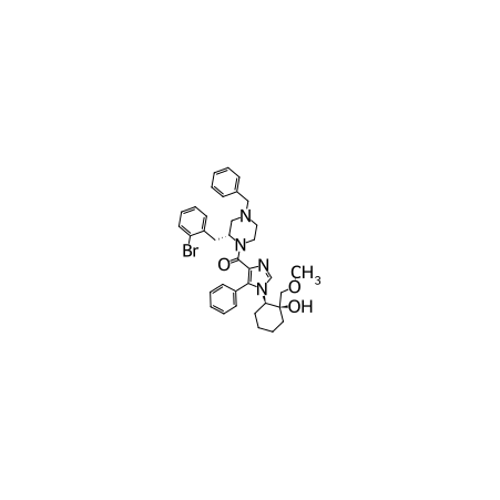 COC[C@]1(O)CCCC[C@H]1n1cnc(C(=O)N2CCN(Cc3ccccc3)C[C@H]2Cc2ccccc2Br)c1-c1ccccc1